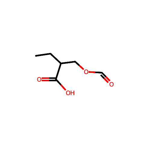 CCC(COC=O)C(=O)O